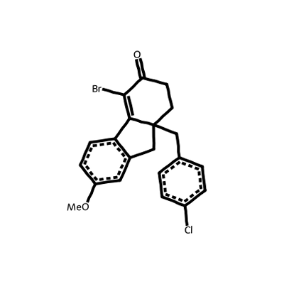 COc1ccc2c(c1)CC1(Cc3ccc(Cl)cc3)CCC(=O)C(Br)=C21